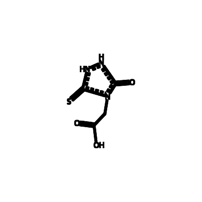 O=C(O)Cn1c(=O)[nH][nH]c1=S